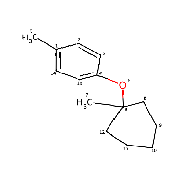 Cc1ccc(OC2(C)CCCCC2)cc1